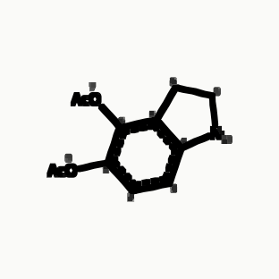 CC(=O)Oc1ccc2c(c1OC(C)=O)CC[N]2